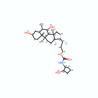 CC[C@@H]1C2C[C@H](O)CCC2(C)[C@H]2CC[C@]3(C)[C@@H]([C@H](C)CCOC(=O)NC4CCCC4O)CC[C@H]3C2[C@@H]1O